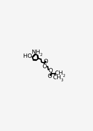 C=C(C)C(=O)OCCOC(=O)CCc1ccc(O)c(N)c1